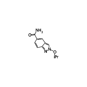 CC(C)On1cc2cc(C(N)=O)ccc2n1